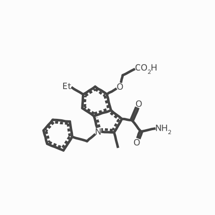 CCc1cc(OCC(=O)O)c2c(C(=O)C(N)=O)c(C)n(Cc3ccccc3)c2c1